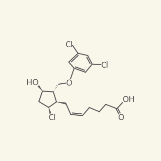 O=C(O)CCC/C=C\C[C@@H]1[C@@H](COc2cc(Cl)cc(Cl)c2)[C@H](O)C[C@@H]1Cl